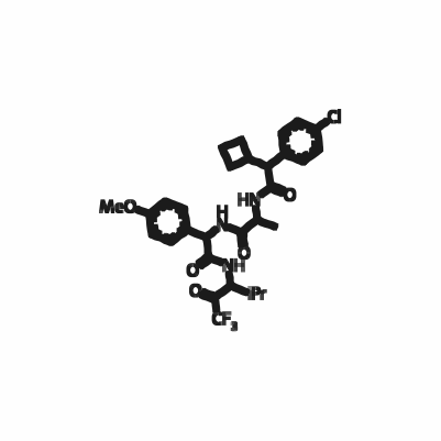 COc1ccc(C(NC(=O)C(C)NC(=O)C(c2ccc(Cl)cc2)C2CCC2)C(=O)NC(C(=O)C(F)(F)F)C(C)C)cc1